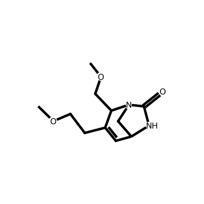 COCCC1=CC2CN(C(=O)N2)C1COC